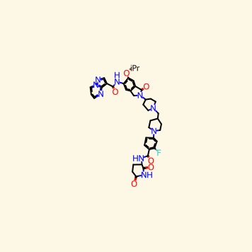 CC(C)Oc1cc2c(cc1NC(=O)c1cnn3cccnc13)CN(C1CCN(CC3CCN(c4ccc(C(=O)NC5CCC(=O)NC5=O)c(F)c4)CC3)CC1)C2=O